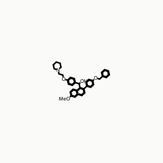 COc1ccc2c(C(O)c3ccc(OCCN4CCCCC4)cc3)c(-c3ccc(OCc4ccccc4)cc3)ccc2c1